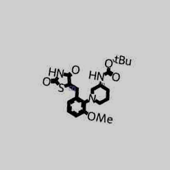 COc1cccc(/C=C2\SC(=O)NC2=O)c1N1CCC[C@@H](NC(=O)OC(C)(C)C)C1